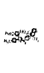 COc1cccc(-n2cc(C(=O)N3CCN(c4c(C)cc5ccccc5c4C(=O)O)CC3)nc2-c2ccc(C)cc2)c1